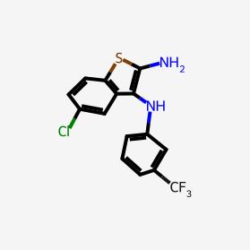 Nc1sc2ccc(Cl)cc2c1Nc1cccc(C(F)(F)F)c1